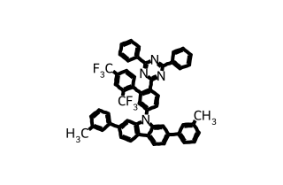 Cc1cccc(-c2ccc3c4ccc(-c5cccc(C)c5)cc4n(-c4ccc(-c5nc(-c6ccccc6)nc(-c6ccccc6)n5)c(-c5ccc(C(F)(F)F)cc5C(F)(F)F)c4)c3c2)c1